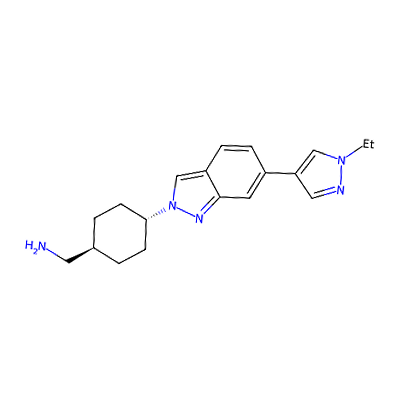 CCn1cc(-c2ccc3cn([C@H]4CC[C@H](CN)CC4)nc3c2)cn1